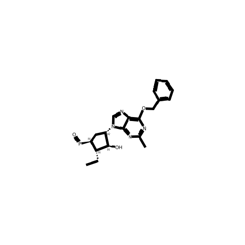 CC[C@H]1[C@H](O)[C@@H](n2cnc3c(OCc4ccccc4)nc(C)nc32)C[C@@H]1P=O